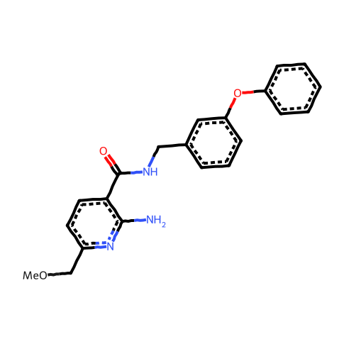 COCc1ccc(C(=O)NCc2cccc(Oc3ccccc3)c2)c(N)n1